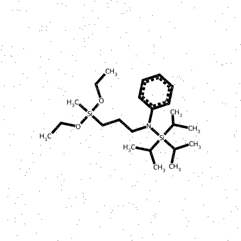 CCO[Si](C)(CCCN(c1ccccc1)[Si](C(C)C)(C(C)C)C(C)C)OCC